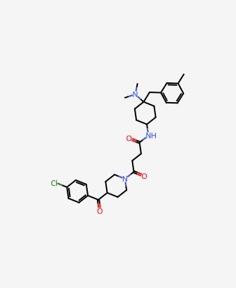 Cc1cccc(CC2(N(C)C)CCC(NC(=O)CCC(=O)N3CCC(C(=O)c4ccc(Cl)cc4)CC3)CC2)c1